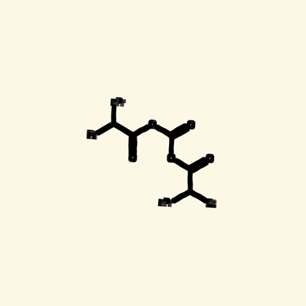 CCCC(CC)C(=O)OC(=O)OC(=O)C(CC)CCC